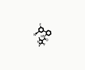 Cc1nn(C)c(F)c1C(=O)Nc1ccccc1-c1cc(F)cc(C#N)c1